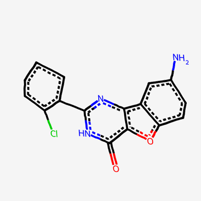 Nc1ccc2oc3c(=O)[nH]c(-c4ccccc4Cl)nc3c2c1